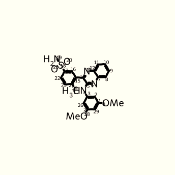 COc1cc(Nc2nc3ccccc3nc2-c2cc(S(N)(=O)=O)ccc2C)cc(OC)c1